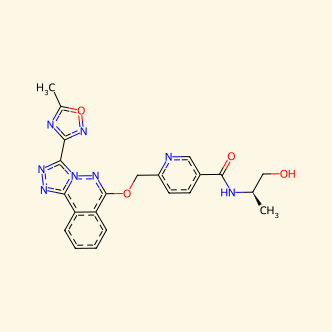 Cc1nc(-c2nnc3c4ccccc4c(OCc4ccc(C(=O)N[C@H](C)CO)cn4)nn23)no1